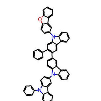 c1ccc(-c2cc3c(cc2-c2ccc4c(c2)c2ccccc2n4-c2ccc4c(c2)c2ccccc2n4-c2ccccc2)c2ccccc2n3-c2ccc3oc4ccccc4c3c2)cc1